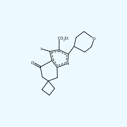 CCOC(=O)c1c(C2CCOCC2)nc2c(c1I)C(=O)CC1(CCC1)C2